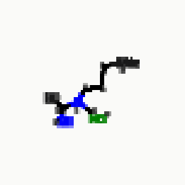 CCC(=N)N(C)CCCNC.Cl